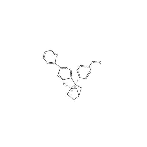 O=Cc1ccc([C@]2(c3ccc(-c4ccccn4)cc3)CC3CC[C@@H]2C3)cc1